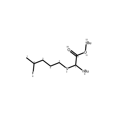 CCCCC(SCCCC(C)F)C(=O)OC(C)(C)C